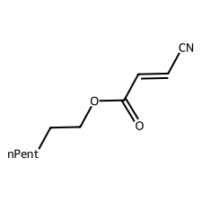 CCCCCCCOC(=O)C=CC#N